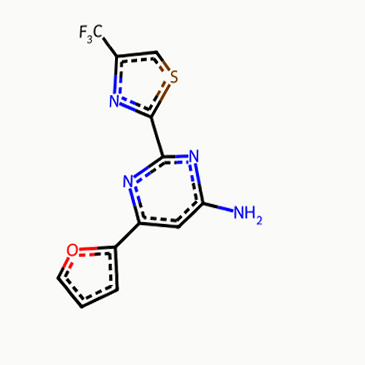 Nc1cc(-c2ccco2)nc(-c2nc(C(F)(F)F)cs2)n1